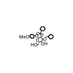 COc1ccc(O[C@H]2O[C@H](CO)[C@@H](O)[C@H](OCc3ccccc3)[C@H]2OC(=O)c2ccccc2)cc1